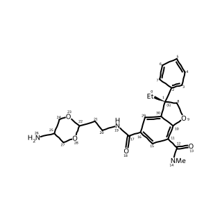 CC[C@@]1(c2ccccc2)COc2c(C(=O)NC)cc(C(=O)NCCC3OCC(N)CO3)cc21